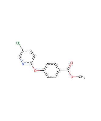 COC(=O)c1ccc(Oc2ccc(Cl)cn2)cc1